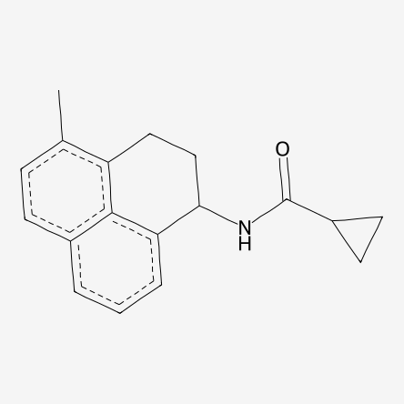 Cc1ccc2cccc3c2c1CCC3NC(=O)C1CC1